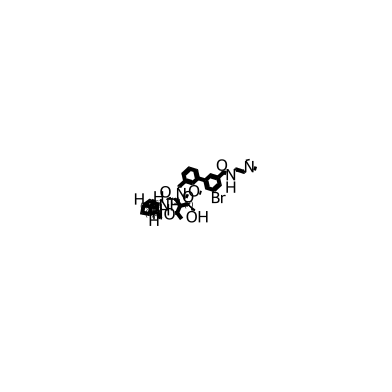 COc1c(CN2O[C@@H](CO)C(C(C)O)[C@H]2C(=O)N[C@H]2C[C@H]3C[C@@H]([C@@H]2C)C3(C)C)cccc1-c1cc(Br)cc(C(=O)NCCN(C)C)c1